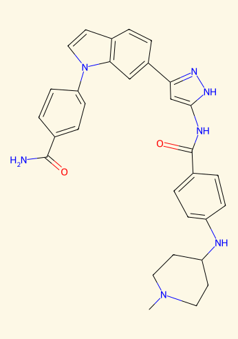 CN1CCC(Nc2ccc(C(=O)Nc3cc(-c4ccc5ccn(-c6ccc(C(N)=O)cc6)c5c4)n[nH]3)cc2)CC1